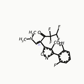 CN(C)/C=C(\C(=O)C(F)(F)C(F)F)c1onc(-c2c(F)cccc2Cl)c1C(=O)O